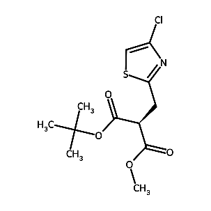 COC(=O)[C@H](Cc1nc(Cl)cs1)C(=O)OC(C)(C)C